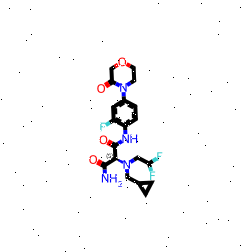 NC(=O)[C@@H](C(=O)Nc1ccc(N2CCOCC2=O)cc1F)N(CC(F)F)CC1CC1